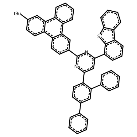 CC(C)(C)c1ccc2c3ccc(-c4nc(-c5ccc(-c6ccccc6)cc5-c5ccccc5)cc(-c5cccc6c5sc5ccccc56)n4)cc3c3ccccc3c2c1